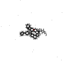 CC1(C)c2ccccc2-c2c1ccc1ccc3ccc(N(c4ccc(-c5ccccc5)cc4)c4cccc5c4sc4ccccc45)cc3c21